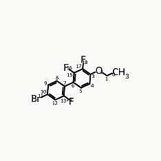 CCOc1ccc(-c2ccc(Br)cc2F)c(F)c1F